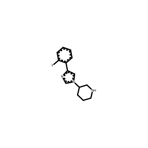 Fc1ccccc1-c1cn(C2CCCNC2)cn1